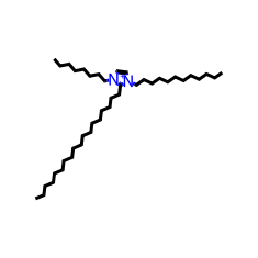 CCCCCCCCCCCCCCCCCCc1n(CCCCCCCCCCCC)cc[n+]1CCCCCCCC